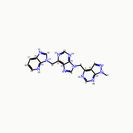 Cn1ncc2c(Cn3cnc4c(Cn5cnc6cccnc65)ncnc43)ncnc21